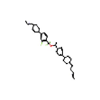 C/C=C/CCC1CCC(c2ccc(C(C)OC(F)(F)c3ccc(C4CCC(/C=C/C)CC4)cc3F)cc2)CC1